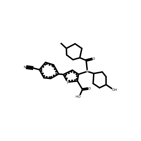 CC1CCC(C(=O)N(c2cc(-c3ccc(C#N)cc3)sc2C(=O)O)C2CCC(O)CC2)CC1